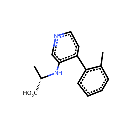 Cc1ccccc1-c1ccncc1N[C@@H](C)C(=O)O